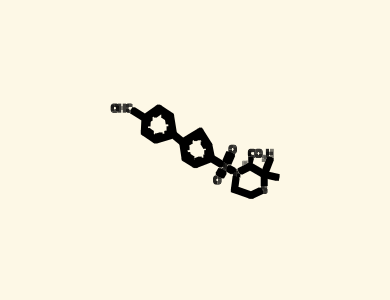 CC1(C)SCCN(S(=O)(=O)c2ccc(-c3ccc(C=O)cc3)cc2)[C@H]1C(=O)O